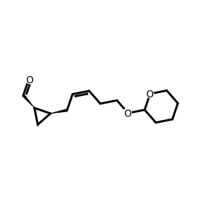 O=C[C@@H]1C[C@@H]1C/C=C\CCOC1CCCCO1